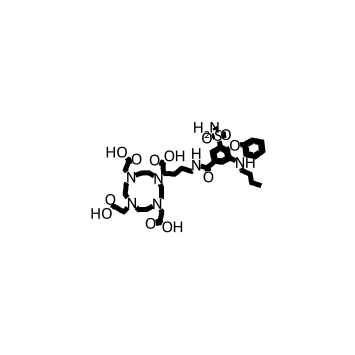 CCCCNc1cc(C(=O)NCCCC(C(=O)O)N2CCN(CC(=O)O)CCN(CC(=O)O)CCN(CC(=O)O)CC2)cc(S(N)(=O)=O)c1Oc1ccccc1